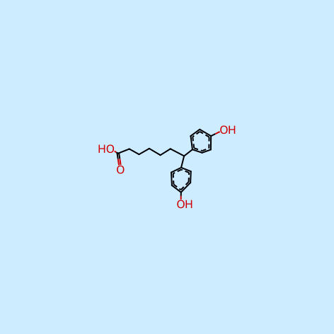 O=C(O)CCCCCC(c1ccc(O)cc1)c1ccc(O)cc1